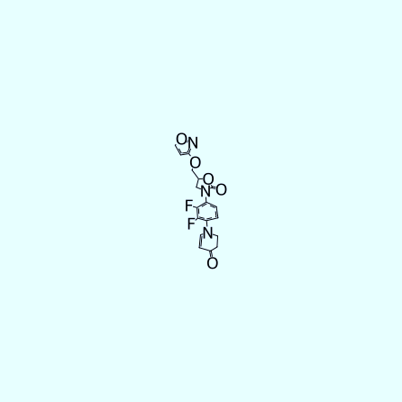 O=C1C=CN(c2ccc(N3CC(COc4ccon4)OC3=O)c(F)c2F)CC1